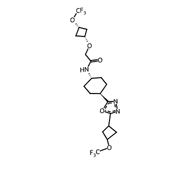 O=C(CO[C@H]1C[C@@H](OC(F)(F)F)C1)N[C@H]1CC[C@H](c2nnc(C3CC(OC(F)(F)F)C3)o2)CC1